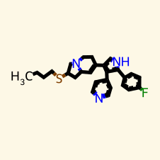 CCCCSC1CC2C=C(c3c[nH]c(-c4ccc(F)cc4)c3-c3ccncc3)CCN2C1